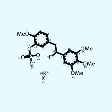 COc1ccc(CC(F)c2cc(OC)c(OC)c(OC)c2)cc1OP(=O)([O-])[O-].[K+].[K+]